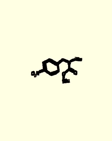 CCC(C)N(Cc1ccc([N+](=O)[O-])cc1)C(=O)OC(C)(C)C